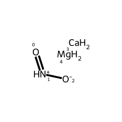 O=[NH+][O-].[CaH2].[MgH2]